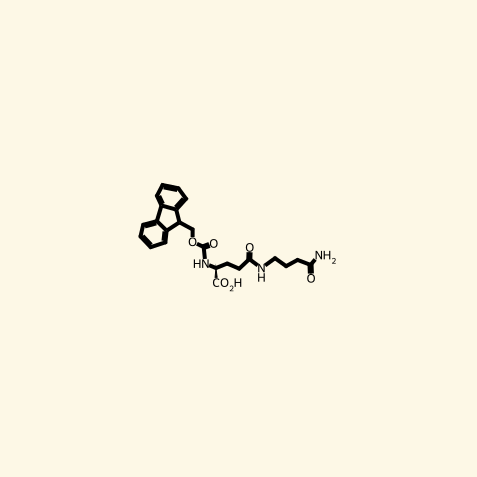 NC(=O)CCCNC(=O)CC[C@H](NC(=O)OCC1c2ccccc2-c2ccccc21)C(=O)O